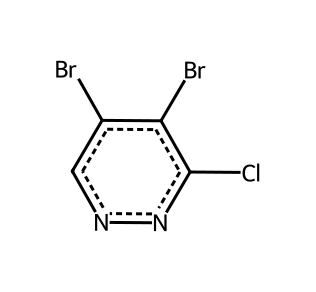 Clc1nncc(Br)c1Br